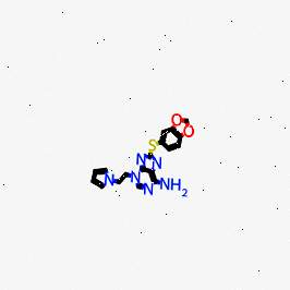 Nc1ncn(CCn2cccc2)c2nc(Sc3ccc4c(c3)OCO4)nc1-2